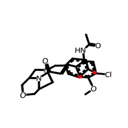 COc1cc(C=CC(=O)N2C3COCC2CN(Cc2ccc(F)cc2)C3)c(NC(C)=O)cc1Cl